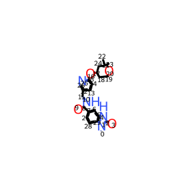 Cn1c(=O)[nH]c2cc(C(=O)NCc3ccc(OC4CCOC(C)(C)C4)nc3)ccc21